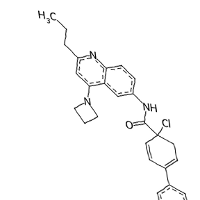 CCCc1cc(N2CCC2)c2cc(NC(=O)C3(Cl)C=CC(c4ccccc4)=CC3)ccc2n1